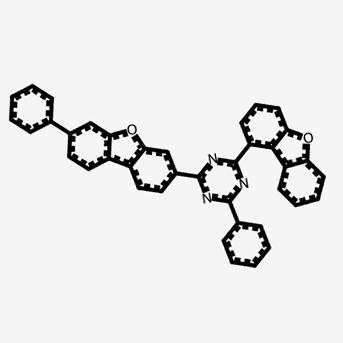 c1ccc(-c2ccc3c(c2)oc2cc(-c4nc(-c5ccccc5)nc(-c5cccc6oc7ccccc7c56)n4)ccc23)cc1